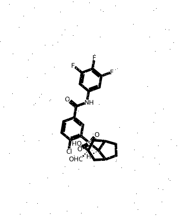 O=C[C@]1(O)CC2CCC(C1)[C@H]2S(=O)(=O)c1cc(C(=O)Nc2cc(F)c(F)c(F)c2)ccc1Cl